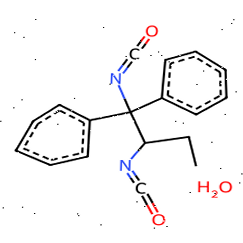 CCC(N=C=O)C(N=C=O)(c1ccccc1)c1ccccc1.O